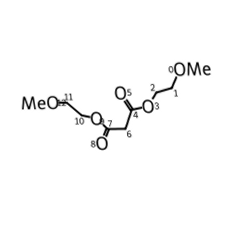 COCCOC(=O)CC(=O)OCCOC